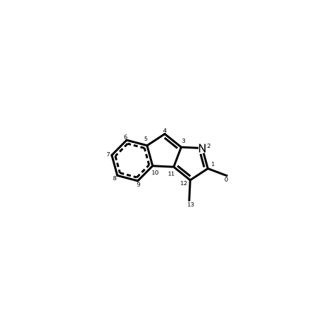 CC1=NC2=Cc3ccccc3C2=C1C